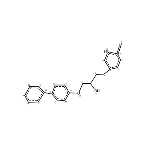 O=c1ccc(CCC(O)COc2ccc(-c3ccccc3)cc2)c[nH]1